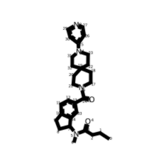 CCCC(=O)N(C)C1CCc2ccc(C(=O)N3CCC4(CC3)CCN(c3ccncc3)CC4)cc21